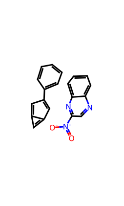 O=[N+]([O-])c1cnc2ccccc2n1.c1ccc(-c2cc3cc-3c2)cc1